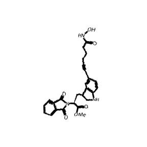 COC(=O)[C@H](CC1CNc2ccc(C#CCCCC(=O)NO)cc21)N1C(=O)c2ccccc2C1=O